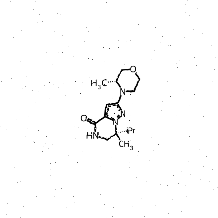 CC(C)[C@]1(C)CNC(=O)c2cc(N3CCOC[C@H]3C)nn21